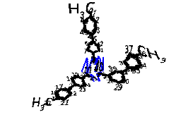 Cc1ccc(-c2ccc(-c3nc(-c4ccc(-c5ccc(C)cc5)cc4)nc(-c4cccc(-c5ccc(C)cc5)c4)n3)cc2)cc1